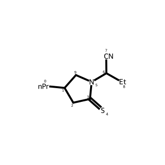 CCCC1CC(=S)N(C(C#N)CC)C1